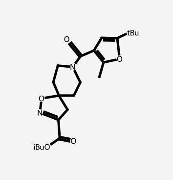 Cc1oc(C(C)(C)C)cc1C(=O)N1CCC2(CC1)CC(C(=O)OCC(C)C)=NO2